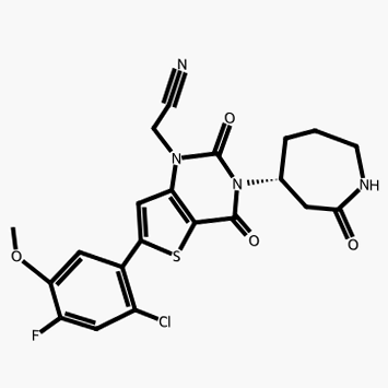 COc1cc(-c2cc3c(s2)c(=O)n([C@@H]2CCCNC(=O)C2)c(=O)n3CC#N)c(Cl)cc1F